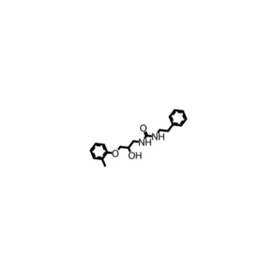 Cc1ccccc1OCC(O)CNC(=O)NCCc1ccccc1